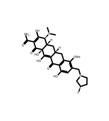 COc1c(CN2CC[C@@H](F)C2)cc(O)c2c1C[C@H]1C[C@H]3[C@H](N(C)C)C(O)=C(C(N)=O)C(=O)[C@@]3(O)C(O)=C1C2=O